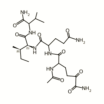 CC[C@@H](C)[C@H](NC(=O)C(CCC(N)=O)NC(=O)C(CCC(=O)C(N)=O)NC(C)=O)C(=O)NC(C(N)=O)C(C)C